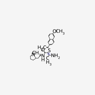 C=C(S/C(C(=O)NCCC1CCCN1C)=C(/C)N)c1ccc2cc(OC)ccc2c1